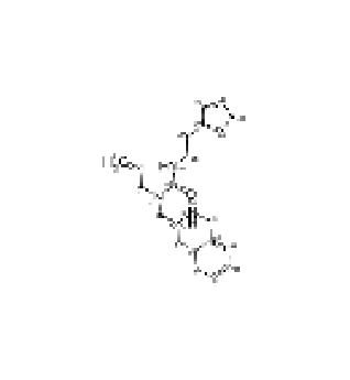 C=CCN(C[C@@H]1Cc2ccccc2CN1)C(=O)NCCc1ccsc1